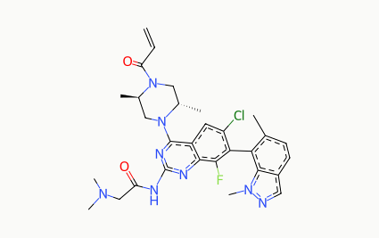 C=CC(=O)N1C[C@H](C)N(c2nc(NC(=O)CN(C)C)nc3c(F)c(-c4c(C)ccc5cnn(C)c45)c(Cl)cc23)C[C@H]1C